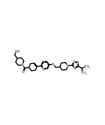 CC(C)c1noc(N2CCC(COc3ccc(C4=CCC(C(=O)N5CCC(CO)CC5)CC4)nc3)CC2)n1